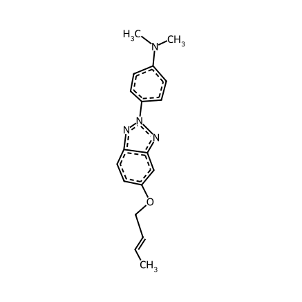 C/C=C/COc1ccc2nn(-c3ccc(N(C)C)cc3)nc2c1